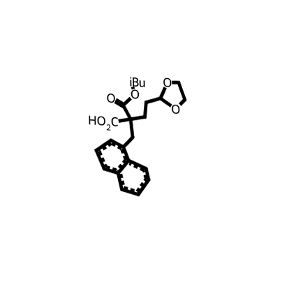 CCC(C)OC(=O)C(CCC1OCCO1)(Cc1cccc2ccccc12)C(=O)O